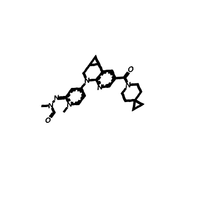 CN(C=O)/N=c1/cc(N2CC3CC3c3cc(C(=O)N4CCC5(CC4)CC5)cnc32)ccn1C